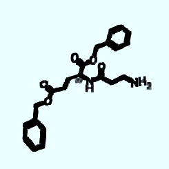 NCCC(=O)N[C@@H](CCC(=O)OCc1ccccc1)C(=O)OCc1ccccc1